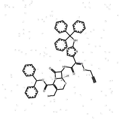 C#CCO/N=C(\C(=O)NC1C(=O)N2C(C(=O)OC(c3ccccc3)c3ccccc3)=C(CI)CS[C@H]12)c1csc(NC(c2ccccc2)(c2ccccc2)c2ccccc2)n1